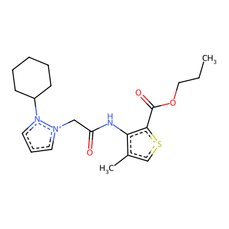 CCCOC(=O)c1scc(C)c1NC(=O)C[n+]1cccn1C1CCCCC1